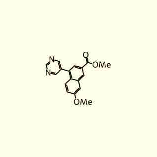 COC(=O)c1cc(-c2cncnc2)c2ccc(OC)cc2c1